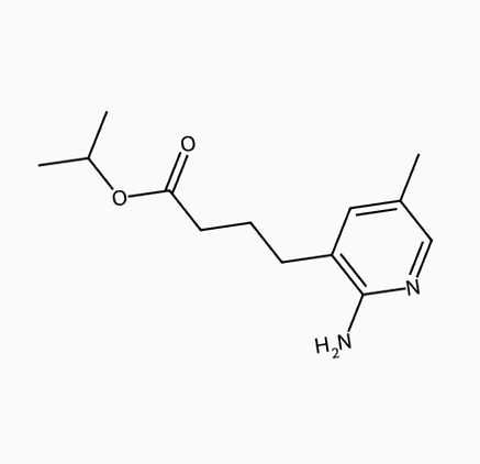 Cc1cnc(N)c(CCCC(=O)OC(C)C)c1